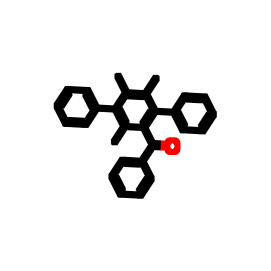 Cc1c(C)c(-c2ccccc2)c(C(=O)c2ccccc2)c(C)c1-c1ccccc1